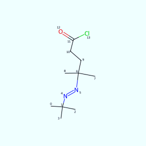 CC(C)(C)/N=N/C(C)(C)CCC(=O)Cl